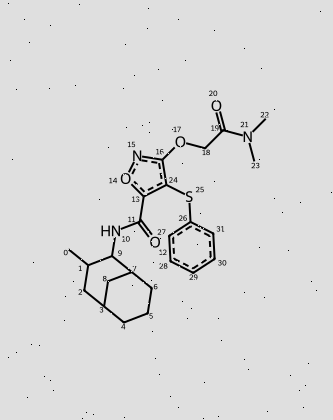 CC1CC2CCCC(C2)C1NC(=O)c1onc(OCC(=O)N(C)C)c1Sc1ccccc1